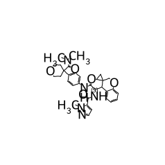 CN(C)C(=O)C1(c2ccc(NC(=O)[C@@H](NC(=O)c3ccnn3C)C3c4ccccc4OCC34CC4)cc2)CCOCC1